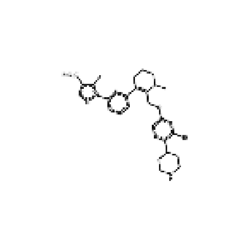 CCOC(=O)c1cnn(-c2cccc(C3=C(COc4ccc(C5CCNCC5)c(CC)c4)C(C)CCC3)n2)c1C